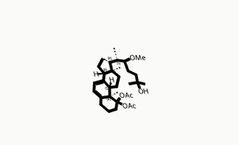 COC(CCC(C)(C)O)[C@@H](C)[C@H]1CC[C@H]2C3=CC=C4CCCC(OC(C)=O)(OC(C)=O)[C@]4(C)[C@H]3CC[C@]12C